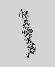 CC(C)(C)[Si](C)(C)OC(CF)COc1ccc(C(=O)Nc2ccc(N3CCN(c4cc(C#N)ccn4)CC3)cc2)cc1